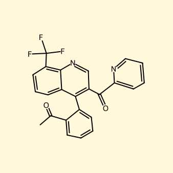 CC(=O)c1ccccc1-c1c(C(=O)c2ccccn2)cnc2c(C(F)(F)F)cccc12